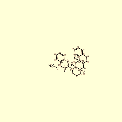 CC[C@@H](NC(=O)N1CCC[C@H]2CN3CCc4ccccc4[C@H]3C[C@H]21)c1ccccc1